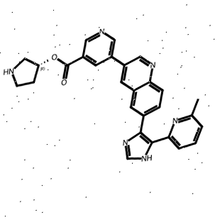 Cc1cccc(-c2[nH]cnc2-c2ccc3ncc(-c4cncc(C(=O)O[C@@H]5CCNC5)c4)cc3c2)n1